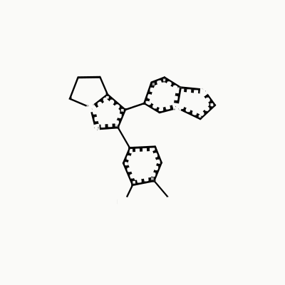 Cc1cc(-c2nn3c(c2-c2ccc4nccn4c2)CCC3)ccc1F